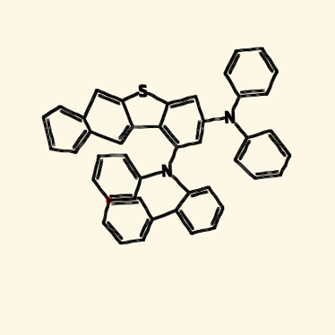 c1ccc(-c2ccccc2N(c2ccccc2)c2cc(N(c3ccccc3)c3ccccc3)cc3sc4cc5ccccc5cc4c23)cc1